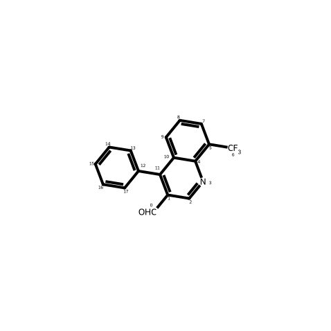 O=Cc1cnc2c(C(F)(F)F)cccc2c1-c1ccccc1